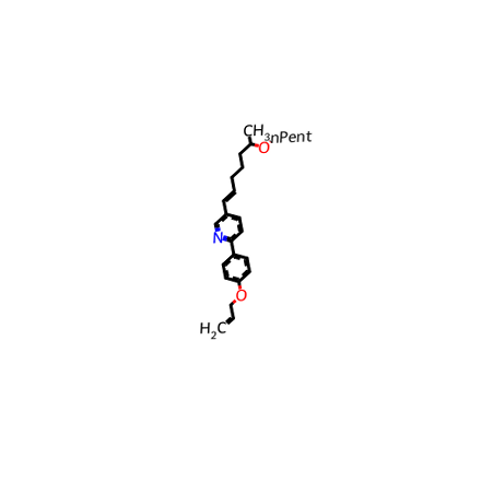 C=CCOc1ccc(-c2ccc(C=CCCCC(C)OCCCCC)cn2)cc1